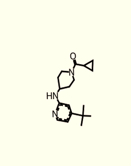 CC(C)(C)c1ccnc(NC2CCN(C(=O)C3CC3)CC2)c1